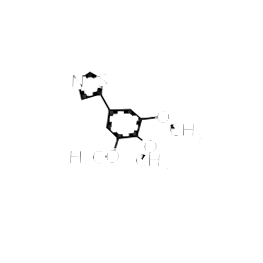 COc1cc(-c2[c]ncs2)cc(OC)c1OC